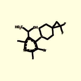 Cc1nc(C)c(C(O)C(=O)O)c(N2CCC3(CC2)CC3(F)F)c1Br